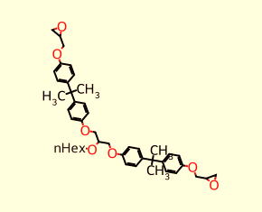 CCCCCCOC(COc1ccc(C(C)(C)c2ccc(OCC3CO3)cc2)cc1)COc1ccc(C(C)(C)c2ccc(OCC3CO3)cc2)cc1